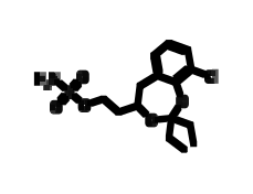 CCC1(CC)Oc2c(Cl)cccc2CC(CCOS(N)(=O)=O)O1